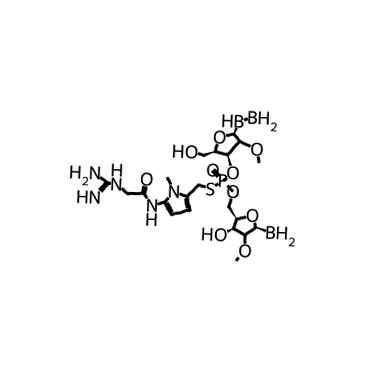 BB[C@@H]1O[C@H](CO)[C@H](OP(=O)(OC[C@H]2O[C@@H](B)C(OC)[C@H]2O)SCc2ccc(NC(=O)CNC(=N)N)n2C)C1OC